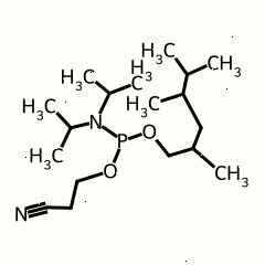 CC(COP(OCCC#N)N(C(C)C)C(C)C)CC(C)C(C)C